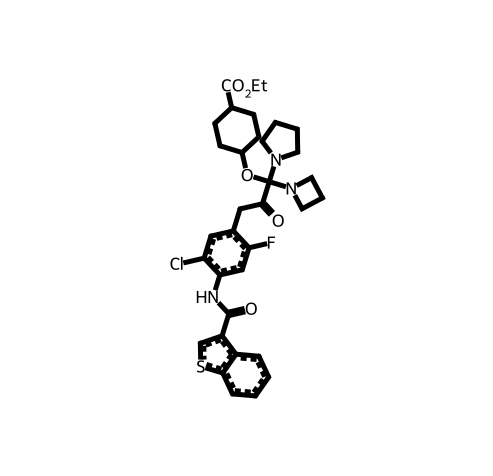 CCOC(=O)C1CCC(OC(C(=O)Cc2cc(Cl)c(NC(=O)c3csc4ccccc34)cc2F)(N2CCCC2)N2CCC2)CC1